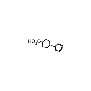 O=C(O)[C@H]1CC[C@@H](c2ccccc2)CC1